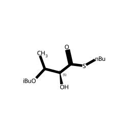 CCCCSC(=O)[C@@H](O)C(C)OCC(C)C